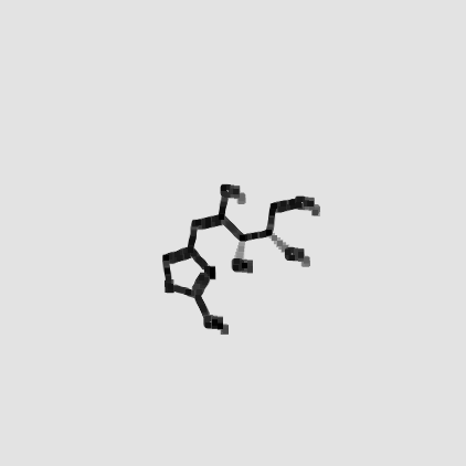 C=C[C@H](C)[C@H](O)C(C)=Cc1csc(C)n1